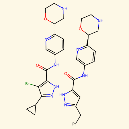 CC(C)Cc1cc(C(=O)Nc2ccc([C@@H]3CNCCO3)nc2)[nH]n1.O=C(Nc1ccc([C@H]2CNCCO2)nc1)c1[nH]nc(C2CC2)c1Br